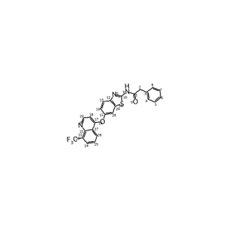 O=C(Cc1ccccc1)Nc1nc2ccc(Oc3ccnc4c(C(F)(F)F)cccc34)cc2s1